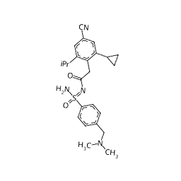 CC(C)c1cc(C#N)cc(C2CC2)c1CC(=O)N=S(N)(=O)c1ccc(CN(C)C)cc1